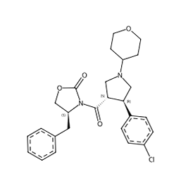 O=C1OC[C@H](Cc2ccccc2)N1C(=O)[C@@H]1CN(C2CCOCC2)C[C@H]1c1ccc(Cl)cc1